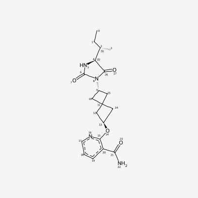 CC[C@H](C)[C@@H]1NC(=O)N([C@H]2CC3(C[C@H](Oc4ncccc4C(N)=O)C3)C2)C1=O